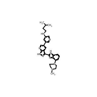 CC(C)CCNc1cncc(-c2cnc3[nH]nc(-c4nc5c(N6CCN(C)CC6)cccc5[nH]4)c3c2)c1